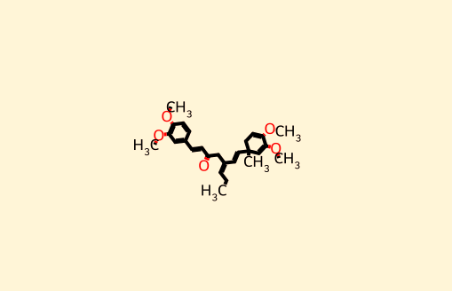 CC/C=C(\C=C\C1(C)C=C(OC)C(OC)=CC1)CC(=O)/C=C/c1ccc(OC)c(OC)c1